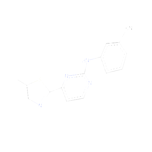 CC1CN=C(c2ccnc(Nc3cccc(C#N)c3)n2)S1